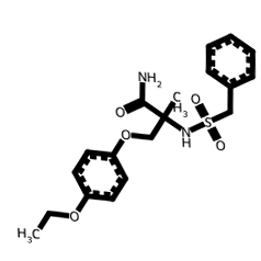 CCOc1ccc(OCC(C)(NS(=O)(=O)Cc2ccccc2)C(N)=O)cc1